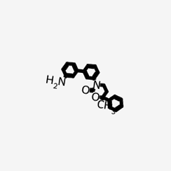 CC1(c2ccccc2)CCN(c2cccc(-c3cccc(N)c3)c2)C(=O)O1